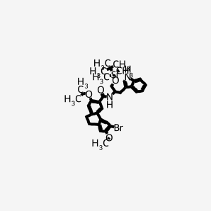 COc1cc2c(cc1Br)-c1cc(C(=O)NC(CO[Si](C)(C)C(C)(C)C)Cc3c[nH]c4ccccc34)c(OC(C)C)cc1CC2